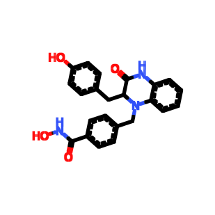 O=C(NO)c1ccc(CN2c3ccccc3NC(=O)C2Cc2ccc(O)cc2)cc1